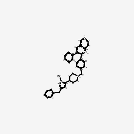 CCn1nc(Cc2ccccc2)cc1C1CCN(Cc2ccc(-c3nc4ccncc4cc3-c3ccccc3)cc2)CC1